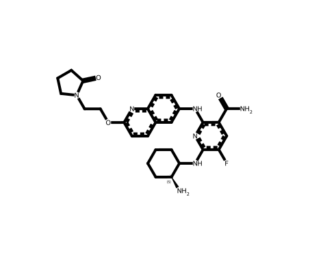 NC(=O)c1cc(F)c(NC2CCCC[C@@H]2N)nc1Nc1ccc2nc(OCCN3CCCC3=O)ccc2c1